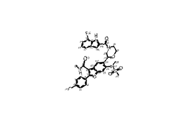 CNC(=O)c1c(-c2ccc(F)cc2)oc2cc(N(C)S(C)(=O)=O)c(C3CN(C(=O)c4cc5cccc(F)c5[nH]4)CCO3)cc12